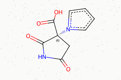 O=C1C[C@@](C(=O)O)(n2cccc2)C(=O)N1